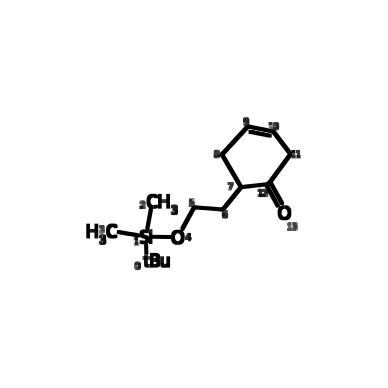 CC(C)(C)[Si](C)(C)OCCC1CC=CCC1=O